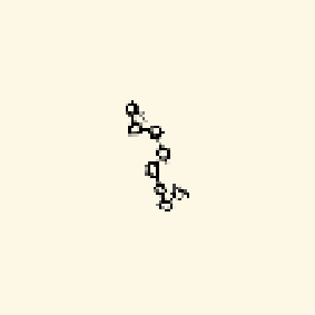 c1cc(-c2cccc(-c3ccc4c5ccccc5c5cncnc5c4c3)c2)cc(-c2cccc(-c3cccc4c3sc3ccccc34)c2)c1